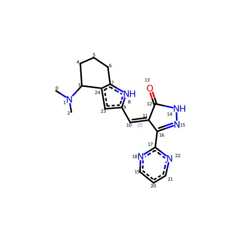 CN(C)C1CCCc2[nH]c(/C=C3\C(=O)NN=C3c3ncccn3)cc21